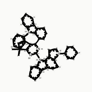 CC1(C)C=Cc2c(-c3cccc4c5ccccc5n(-c5ccccc5)c34)nc(-n3c4ccccc4c4ccc5c(ccn5-c5ccccc5)c43)nc21